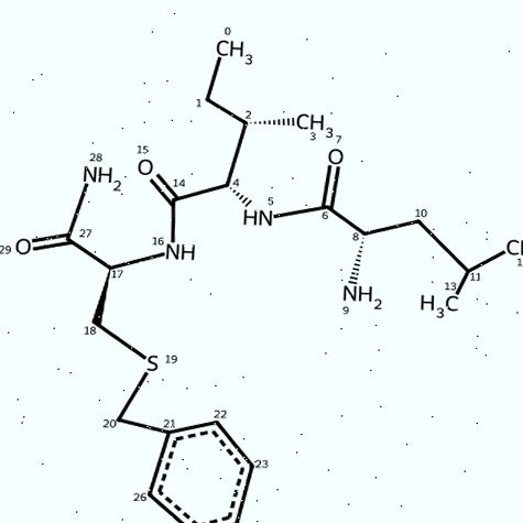 CC[C@H](C)[C@H](NC(=O)[C@@H](N)CC(C)C)C(=O)N[C@@H](CSCc1ccccc1)C(N)=O